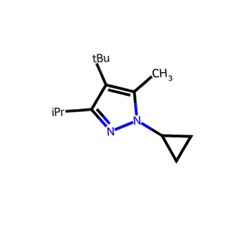 Cc1c(C(C)(C)C)c(C(C)C)nn1C1CC1